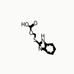 O=C(O)OCSc1nc2ccccc2[nH]1